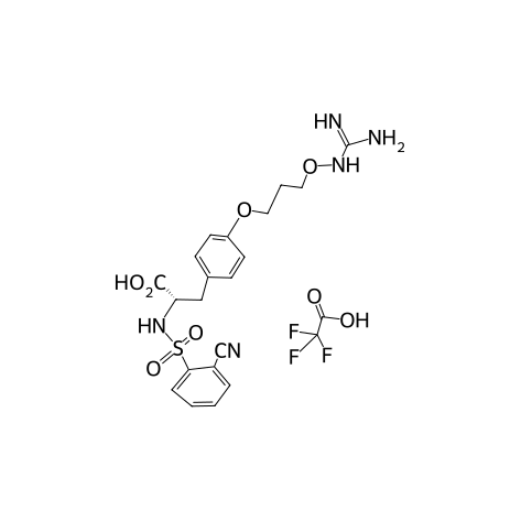 N#Cc1ccccc1S(=O)(=O)N[C@@H](Cc1ccc(OCCCONC(=N)N)cc1)C(=O)O.O=C(O)C(F)(F)F